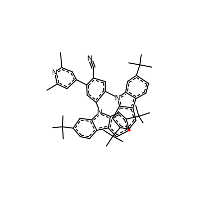 Cc1cc(-c2cc(-n3c4cc(C(C)(C)C)ccc4c4ccc(C(C)(C)C)cc43)c(-n3c4cc(C(C)(C)C)ccc4c4ccc(C(C)(C)C)cc43)cc2C#N)cc(C)n1